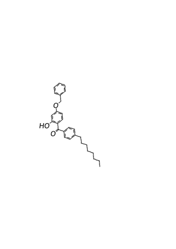 CCCCCCCCc1ccc(C(=O)c2ccc(OCc3ccccc3)cc2O)cc1